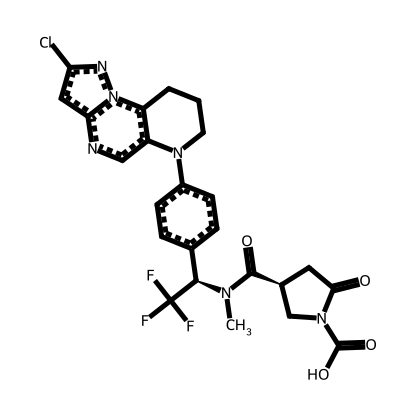 CN(C(=O)[C@H]1CC(=O)N(C(=O)O)C1)[C@H](c1ccc(N2CCCc3c2cnc2cc(Cl)nn32)cc1)C(F)(F)F